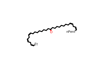 CC/C=C\C/C=C\C/C=C\CCCCCCCCC(=O)CCCCCCCC/C=C\C/C=C\CCCCC